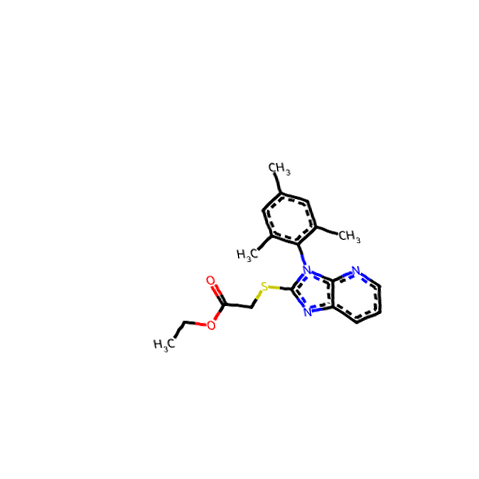 CCOC(=O)CSc1nc2cccnc2n1-c1c(C)cc(C)cc1C